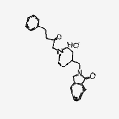 Cl.O=C(CCc1ccccc1)CN1CCC(CN2Cc3ccccc3C2=O)CC1